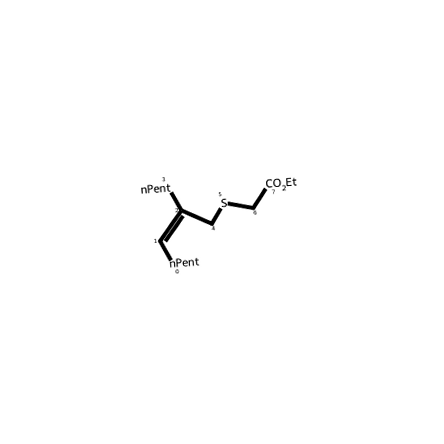 CCCCC/C=C(/CCCCC)CSCC(=O)OCC